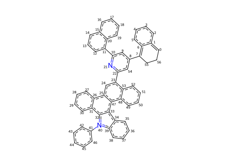 C1=c2ccccc2=C(c2cc(-c3cccc4ccccc34)nc(-c3cc4c5ccccc5c5c(c6ccccc6n5-c5ccccc5)c4c4ccccc34)c2)CC1